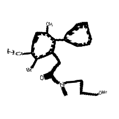 COCCN(C)C(=O)Cc1c(Br)c(O)cc(O)c1-c1ccccc1